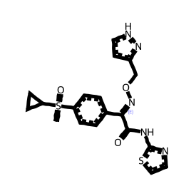 C=S(=O)(c1ccc(/C(=N\OCc2cc[nH]n2)C(=O)Nc2nccs2)cc1)C1CC1